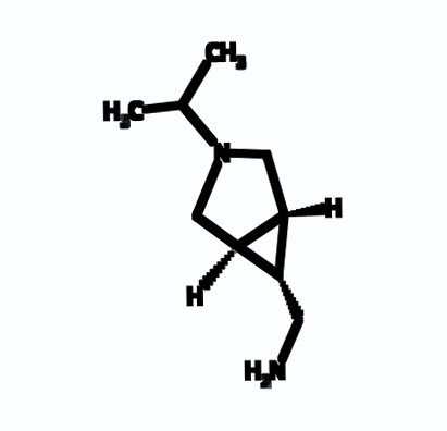 CC(C)N1C[C@@H]2[C@@H](CN)[C@@H]2C1